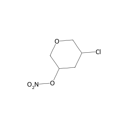 O=[N+]([O-])OC1COCC(Cl)C1